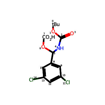 CC(C)(C)OC(=O)NC(OC(=O)O)c1cc(Cl)cc(Cl)c1